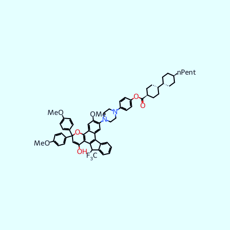 CCCCC[C@H]1CC[C@H]([C@H]2CC[C@H](C(=O)Oc3ccc(N4CCN(c5cc6c7c(c8c(c6cc5OC)OC(c5ccc(OC)cc5)(c5ccc(OC)cc5)C=C8O)C(C(F)(F)F)c5ccccc5-7)CC4)cc3)CC2)CC1